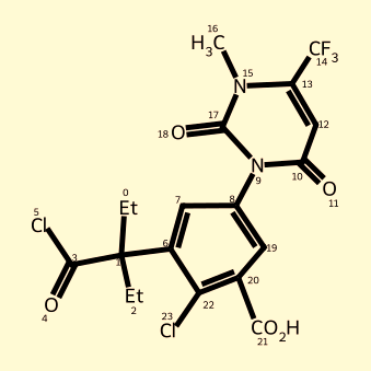 CCC(CC)(C(=O)Cl)c1cc(-n2c(=O)cc(C(F)(F)F)n(C)c2=O)cc(C(=O)O)c1Cl